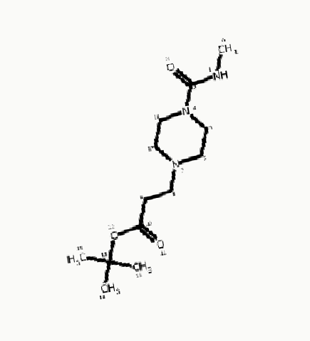 CNC(=O)N1CCN(CCC(=O)OC(C)(C)C)CC1